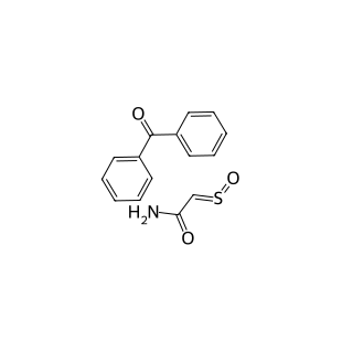 NC(=O)C=S=O.O=C(c1ccccc1)c1ccccc1